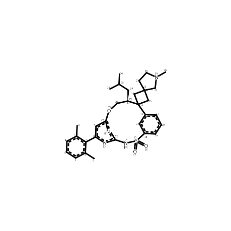 Cc1cccc(C)c1-c1cc2nc(n1)NS(=O)(=O)c1cccc(c1)C1(CC3(CCN(C)C3)C1)[C@H](CC(C)C)CO2